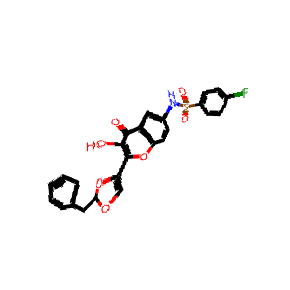 O=c1c(O)c(C2=COC(Cc3ccccc3)O2)oc2ccc(NS(=O)(=O)c3ccc(F)cc3)cc12